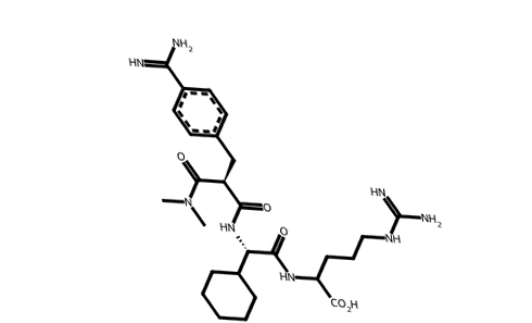 CN(C)C(=O)[C@@H](Cc1ccc(C(=N)N)cc1)C(=O)N[C@H](C(=O)NC(CCCNC(=N)N)C(=O)O)C1CCCCC1